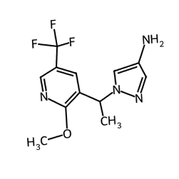 COc1ncc(C(F)(F)F)cc1C(C)n1cc(N)cn1